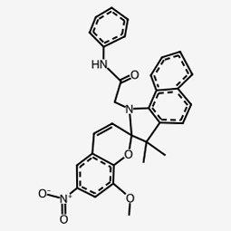 COc1cc([N+](=O)[O-])cc2c1OC1(C=C2)N(CC(=O)Nc2ccccc2)c2c(ccc3ccccc23)C1(C)C